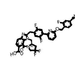 CC(=O)N1CC(F)(F)C[C@@H]1Cn1c(Cc2cc(F)c(-c3cccc(OCc4ccc(C#N)cc4F)n3)cc2F)nc2ccc(C(=O)O)cc21